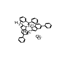 CC1=Cc2cc(-c3ccccc3)ccc2[CH]1[Ti+2](=[C](c1ccccc1)c1ccccc1)[CH]1C(C)=Cc2cc(-c3ccccc3)ccc21.[Cl-].[Cl-]